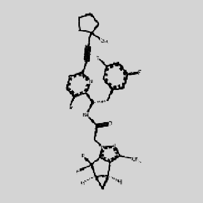 O=C(Cn1nc(C(F)(F)F)c2c1C(F)(F)[C@@H]1C[C@H]21)N[C@@H](Cc1cc(F)cc(F)c1)c1nc(C#CC2(O)CCCC2)ccc1Br